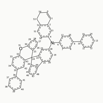 C1=Cc2cc(N(c3ccc(-c4ccccc4)cc3)c3ccc4c(c3)C3(c5ccccc5Oc5ccc(-c6ccccc6)cc53)c3ccccc3-4)ccc2CC1